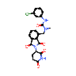 CN(Cc1cccc2c1C(=O)N(C1CCC(=O)NC1=O)C2=O)C(=O)Nc1cccc(Cl)c1